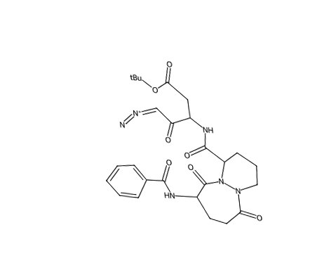 CC(C)(C)OC(=O)CC(NC(=O)C1CCCN2C(=O)CCC(NC(=O)c3ccccc3)C(=O)N12)C(=O)C=[N+]=[N-]